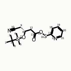 CC(C)(C)[Si](C)(C)O[C@H](CC#N)CC(=O)OSc1ccccn1